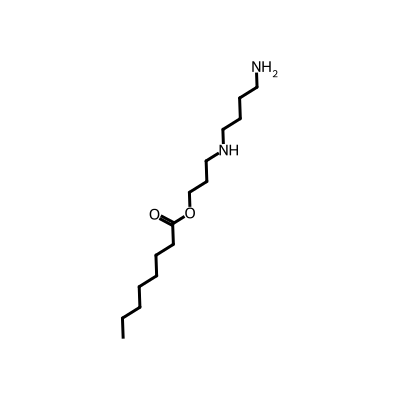 CCCCCCCC(=O)OCCCNCCCCN